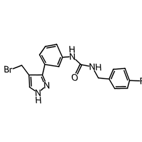 O=C(NCc1ccc(F)cc1)Nc1cccc(-c2n[nH]cc2CBr)c1